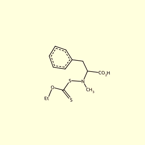 CCOC(=S)SN(C)C(Cc1ccccc1)C(=O)O